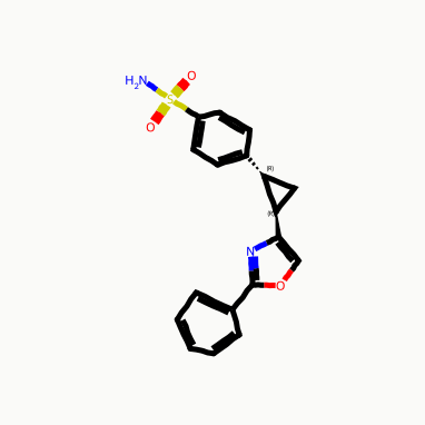 NS(=O)(=O)c1ccc([C@@H]2C[C@H]2c2coc(-c3ccccc3)n2)cc1